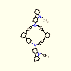 CCn1c2ccccc2c2ccc(N3c4ccc(cc4)-c4ccccc4-c4ccc(cc4)N(c4ccc5c6ccccc6n(CC)c5c4)c4ccc(cc4)-c4ccccc4-c4ccc3cc4)cc21